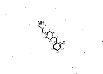 NCCCN1CCC(Cc2ccccc2F)CC1